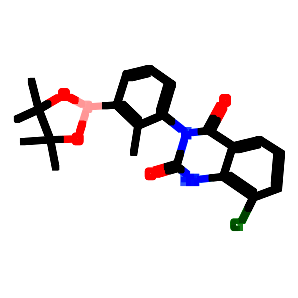 Cc1c(B2OC(C)(C)C(C)(C)O2)cccc1-n1c(=O)[nH]c2c(Cl)cccc2c1=O